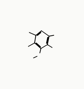 COc1c(C)c(C)cc(C)c1Cl